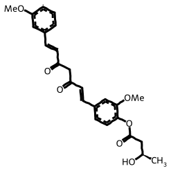 COc1[c]ccc(/C=C/C(=O)CC(=O)/C=C/c2ccc(OC(=O)C[C@@H](C)O)c(OC)c2)c1